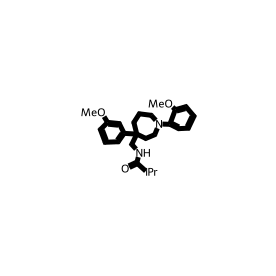 COc1cccc(C2(CNC(=O)C(C)C)CCCN(c3ccccc3OC)CC2)c1